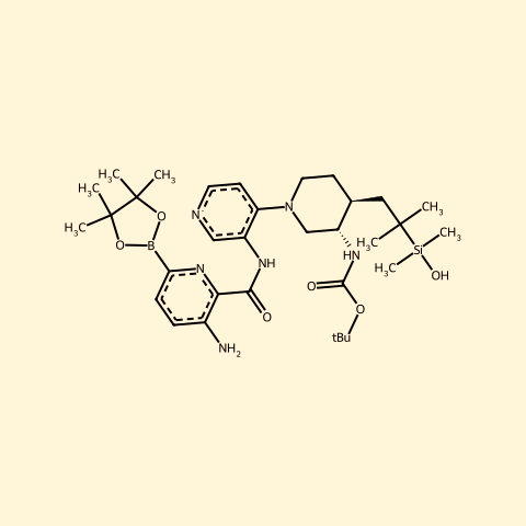 CC(C)(C)OC(=O)N[C@@H]1CN(c2ccncc2NC(=O)c2nc(B3OC(C)(C)C(C)(C)O3)ccc2N)CC[C@H]1CC(C)(C)[Si](C)(C)O